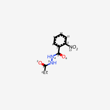 CCC(=O)NNC(=O)c1ccccc1[N+](=O)[O-]